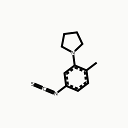 Cc1ccc(N=C=S)cc1N1CCCC1